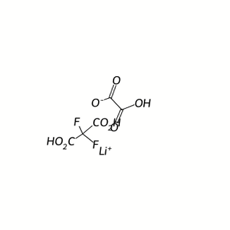 O=C(O)C(F)(F)C(=O)O.O=C([O-])C(=O)O.[Li+]